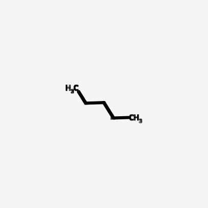 C[C]CCC